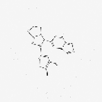 Fc1ccc(N2C=C3CCCN3C2c2ccc3ncnn3c2)cc1Cl